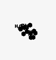 CC1(C)c2ccccc2-c2cc3c(-c4cc(-c5ccccc5)cc(-c5nc(-c6cccc7ccccc67)cc(-c6cccc7ccccc67)n5)c4)cc(-c4ccccc4)nc3cc21